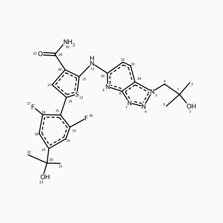 CC(C)(O)Cn1nnc2nc(Nc3sc(-c4c(F)cc(C(C)(C)O)cc4F)cc3C(N)=O)ccc21